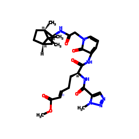 COC(=O)/C=C/CC[C@H](NC(=O)c1cnnn1C)C(=O)Nc1cccn(CC(=O)N[C@H]2C[C@H]3CC[C@]2(C)C3(C)C)c1=O